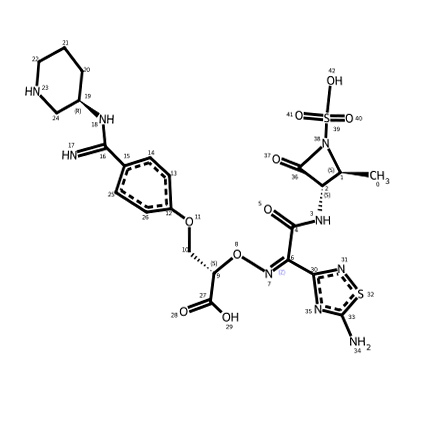 C[C@H]1[C@H](NC(=O)/C(=N\O[C@@H](COc2ccc(C(=N)N[C@@H]3CCCNC3)cc2)C(=O)O)c2nsc(N)n2)C(=O)N1S(=O)(=O)O